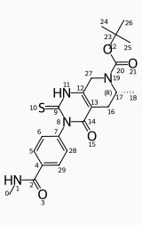 CNC(=O)c1ccc(-n2c(=S)[nH]c3c(c2=O)C[C@@H](C)N(C(=O)OC(C)(C)C)C3)cc1